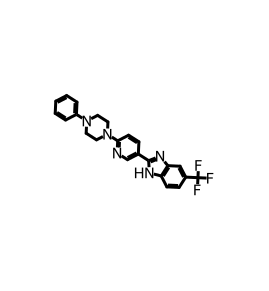 FC(F)(F)c1ccc2[nH]c(-c3ccc(N4CCN(c5ccccc5)CC4)nc3)nc2c1